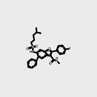 CNC(=O)c1c(-c2ccc(F)cc2)oc2cc(NS(=O)(=O)CCCC(C)C)c(-c3ccccc3)cc12